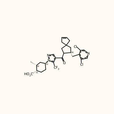 C[C@@H]1C[C@@H](n2ncc(C(=O)C3CC4(CC=CC4)C[C@@H]3Cc3c(Cl)cncc3Cl)c2C(F)(F)F)CC[C@@H]1C(=O)O